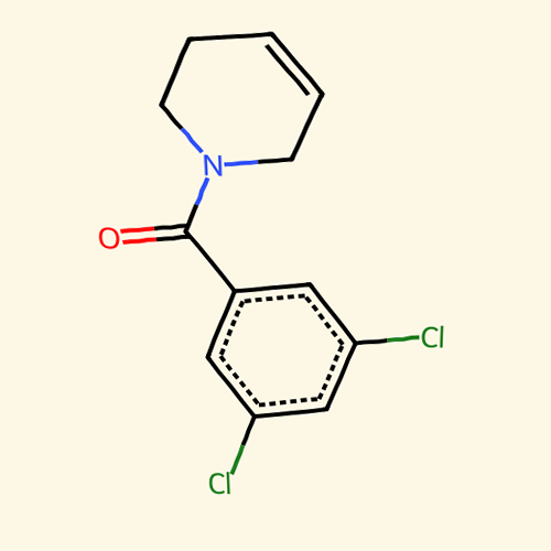 O=C(c1cc(Cl)cc(Cl)c1)N1CC=CCC1